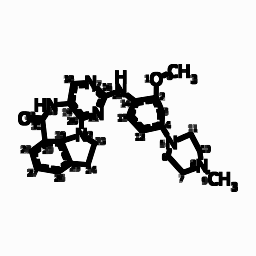 COc1cc(N2CCN(C)CC2)ccc1Nc1ncc2c(n1)N1CCc3cccc(c31)C(=O)N2